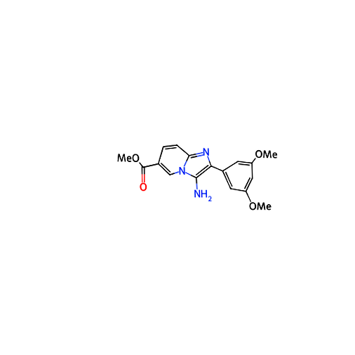 COC(=O)c1ccc2nc(-c3cc(OC)cc(OC)c3)c(N)n2c1